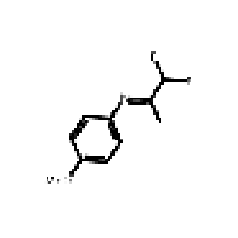 COc1ccc(/N=C(\C)C(F)F)cc1